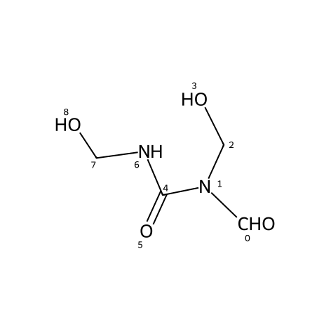 O=CN(CO)C(=O)NCO